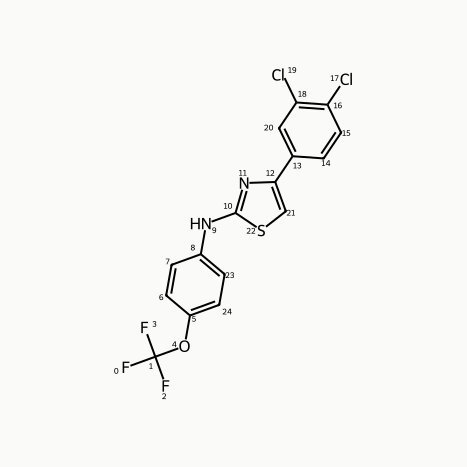 FC(F)(F)Oc1ccc(Nc2nc(-c3ccc(Cl)c(Cl)c3)cs2)cc1